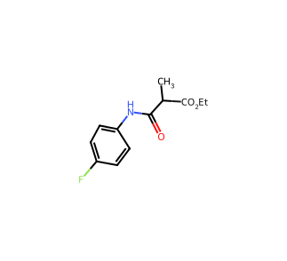 CCOC(=O)C(C)C(=O)Nc1ccc(F)cc1